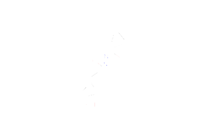 O=C(/C=C/c1ccc(O)cc1)NNC(=O)c1ccccc1